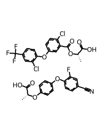 C[C@@H](Oc1ccc(Oc2ccc(C#N)cc2F)cc1)C(=O)O.C[C@H](OC(=O)c1cc(Oc2ccc(C(F)(F)F)cc2Cl)ccc1Cl)C(=O)O